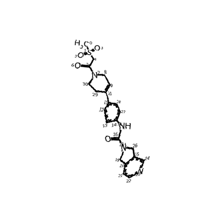 CS(=O)(=O)CC(=O)N1CC=C(c2ccc(NC(=O)N3Cc4ccncc4C3)cc2)CC1